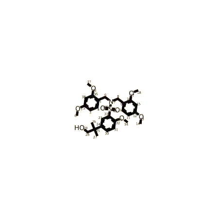 COc1ccc(CN(Cc2ccc(OC)cc2OC)S(=O)(=O)c2cc(C(C)(C)CO)ccc2OC)c(OC)c1